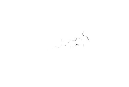 C=C(/C=C\C)N/C=C(/CC(C)(C)CCCCC)C(=C)C